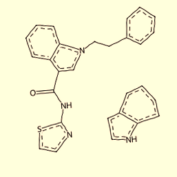 O=C(Nc1nccs1)c1cn(CCc2ccccc2)c2ccccc12.c1ccc2[nH]ccc2c1